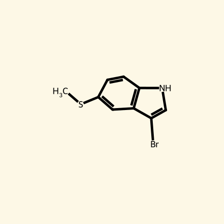 CSc1ccc2[nH]cc(Br)c2c1